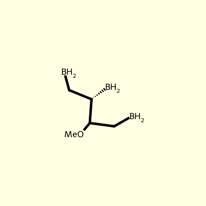 BCC(OC)[C@@H](B)CB